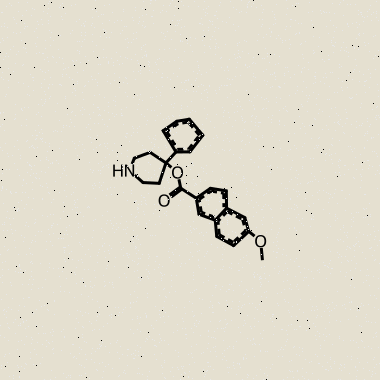 COc1ccc2cc(C(=O)OC3(c4ccccc4)CCNCC3)ccc2c1